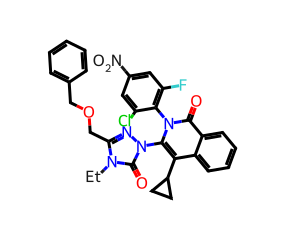 CCn1c(COCc2ccccc2)nn(-c2c(C3CC3)c3ccccc3c(=O)n2-c2c(F)cc([N+](=O)[O-])cc2Cl)c1=O